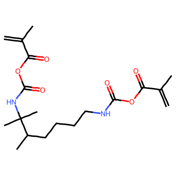 C=C(C)C(=O)OC(=O)NCCCCC(C)C(C)(C)NC(=O)OC(=O)C(=C)C